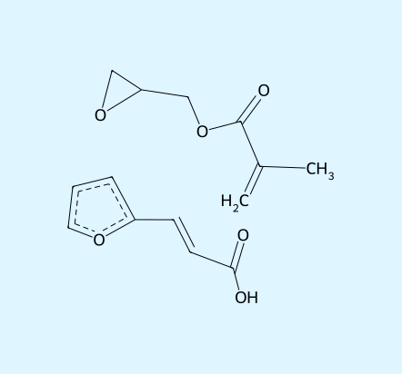 C=C(C)C(=O)OCC1CO1.O=C(O)C=Cc1ccco1